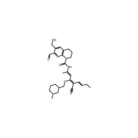 CC/C=C/C(C#N)=C(\C=C(/C)NC(=O)N1CCCc2cc(CO)c(C=O)nc21)OCC1CCCN(C)C1